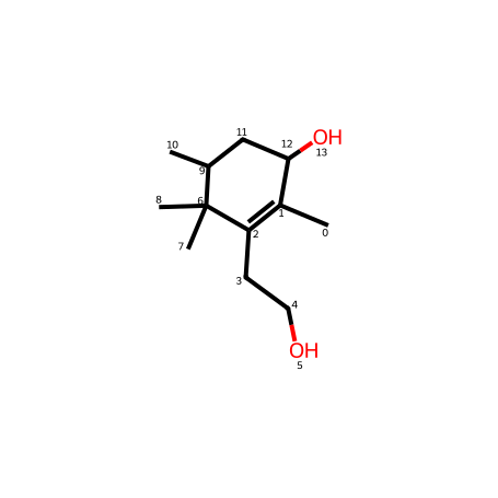 CC1=C(CCO)C(C)(C)C(C)CC1O